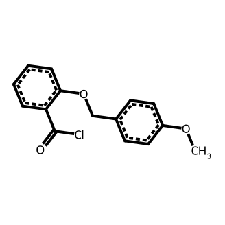 COc1ccc(COc2ccccc2C(=O)Cl)cc1